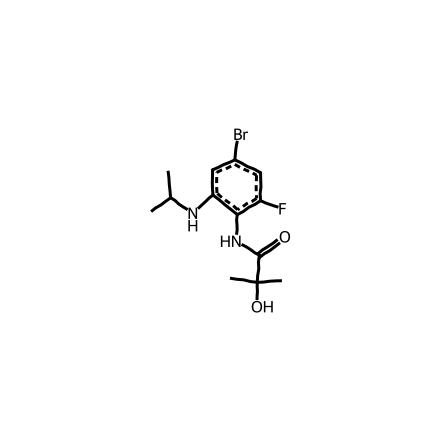 CC(C)Nc1cc(Br)cc(F)c1NC(=O)C(C)(C)O